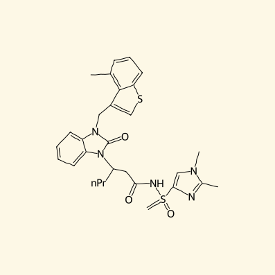 C=S(=O)(NC(=O)CC(CCC)n1c(=O)n(Cc2csc3cccc(C)c23)c2ccccc21)c1cn(C)c(C)n1